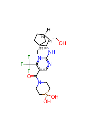 O=C(c1cnc(N[C@@H]2[C@H]3CC[C@H](C3)[C@@H]2CO)nc1C(F)(F)F)N1CCS(O)(O)CC1